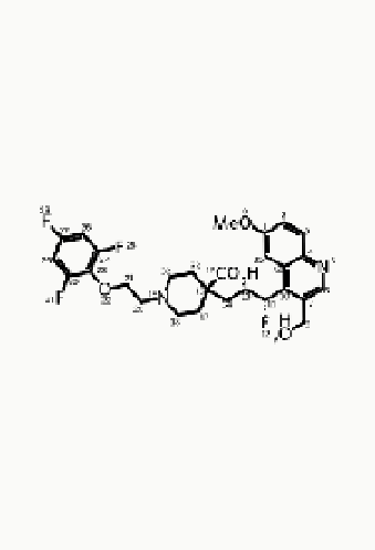 COc1ccc2ncc(CO)c([C@H](F)CCC3(C(=O)O)CCN(CCOc4c(F)cc(F)cc4F)CC3)c2c1